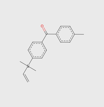 C=C[Si](C)(C)c1ccc(C(=O)c2ccc(C)cc2)cc1